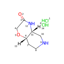 Cl.Cl.O=C1CO[C@H]2CCNC[C@H]2N1